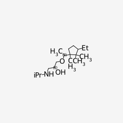 CCC1CCC(C)([C@@H](C)OC[C@H](O)CNC(C)C)C1(C)C